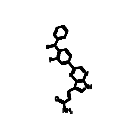 NC(=O)C=Cc1c[nH]c2ncc(-c3ccc(C(=O)c4ccccc4)c(F)c3)nc12